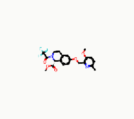 COC(=O)[C@H]1c2ccc(OCc3nc(C)ccc3OC)cc2CCN1C(=O)C(F)(F)F